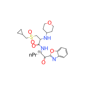 CCC[C@H](NC(=O)C(CS(=O)(=O)CC1CC1)NC1CCOCC1)C(=O)c1nc2ccccc2o1